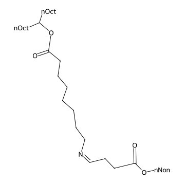 CCCCCCCCCOC(=O)CC/C=N\CCCCCCCC(=O)OC(CCCCCCCC)CCCCCCCC